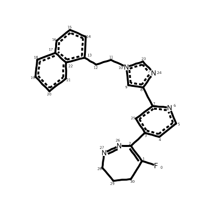 FC1=C(c2ccnc(-c3cn(CCc4cccc5ccccc45)cn3)c2)N=NCCC1